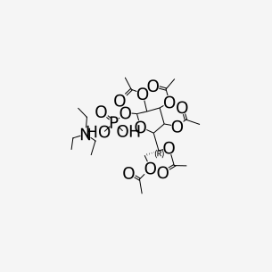 CC(=O)OC[C@@H](OC(C)=O)C1OC(OP(=O)(O)O)C(OC(C)=O)C(OC(C)=O)C1OC(C)=O.CCN(CC)CC